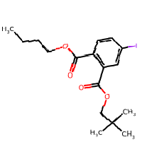 CCCCOC(=O)c1ccc(I)cc1C(=O)OCC(C)(C)C